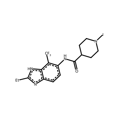 CCc1nc2ccc(NC(=O)C3CCN(I)CC3)c(C(F)(F)F)c2[nH]1